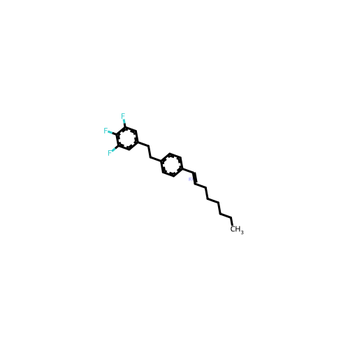 CCCCCC/C=C/c1ccc(CCc2cc(F)c(F)c(F)c2)cc1